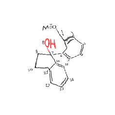 COc1ccccc1C1(O)CCc2ccccc21